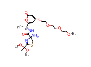 CCC[C@@H](NC(=O)[C@]1(N)CSC(C(C)(OCC)OCC)=N1)c1cc(OCCOCCOCCOCC)cc(=O)o1